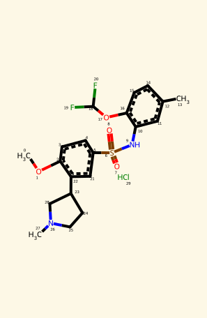 COc1ccc(S(=O)(=O)Nc2cc(C)ccc2OC(F)F)cc1C1CCN(C)C1.Cl